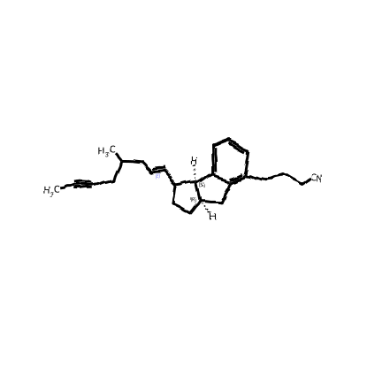 CC#CCC(C)C/C=C/C1CC[C@@H]2Cc3c(CCCC#N)cccc3[C@H]12